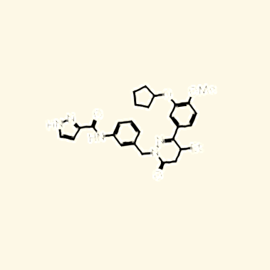 CCC1CC(=O)N(Cc2cccc(NC(=O)c3cc[nH]n3)c2)N=C1c1ccc(OC)c(OC2CCCC2)c1